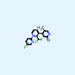 [2H]c1cc(C2=CC=CN(c3ccc(F)cn3)C2C(F)F)c(C)cn1